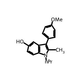 CCCn1c(C)c(-c2ccc(OC)cc2)c2cc(O)ccc21